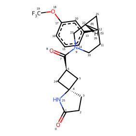 O=C1CC[C@]2(C[C@H](C(=O)N3CC[C@@]4(c5cccc(OC(F)(F)F)c5)C[C@H]4C3)C2)N1